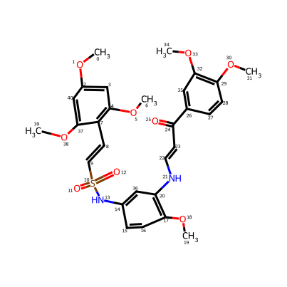 COc1cc(OC)c(/C=C/S(=O)(=O)Nc2ccc(OC)c(N/C=C/C(=O)c3ccc(OC)c(OC)c3)c2)c(OC)c1